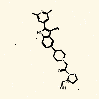 Cc1cc(-c2[nH]c3ccc(C4CCN(CC(=O)N5CCC[C@H]5CO)CC4)cc3c2C(C)C)cc(C)n1